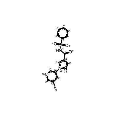 O=C(NS(=O)(=O)c1ccccc1)c1cnn(-c2cncc(F)c2)c1